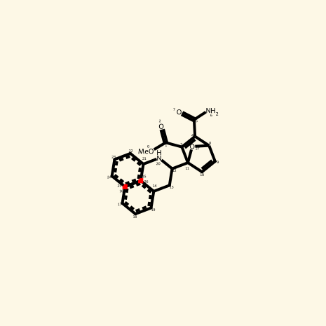 COC(=O)C1=C(C(N)=O)C2C=CC1(C(Cc1ccccc1)Nc1ccccc1)O2